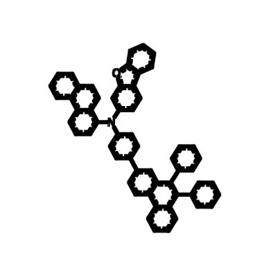 c1ccc(-c2c(-c3ccccc3)c3cc(-c4ccc(N(c5ccc6c(c5)oc5ccccc56)c5cccc6c5ccc5ccccc56)cc4)ccc3c3ccccc23)cc1